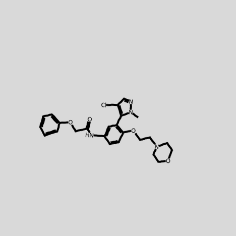 Cn1ncc(Cl)c1-c1cc(NC(=O)COc2ccccc2)ccc1OCCN1CCOCC1